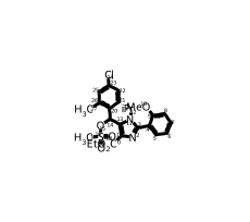 CCOC(=O)c1nc(-c2ccccc2OC)n(C(C)C)c1C(OS(C)(=O)=O)c1ccc(Cl)cc1C